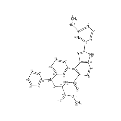 CNc1nccc(-c2cc3cc(C(=O)NC(CN(c4ccccc4)c4ccccn4)C(=O)OC)ccc3[nH]2)n1